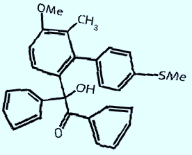 COc1ccc(C(O)(C(=O)c2ccccc2)c2ccccc2)c(-c2ccc(SC)cc2)c1C